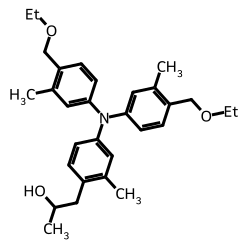 CCOCc1ccc(N(c2ccc(COCC)c(C)c2)c2ccc(CC(C)O)c(C)c2)cc1C